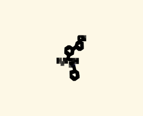 N#Cc1cccc(-c2cccc(C(N)N/N=C/c3ccccc3)c2)c1